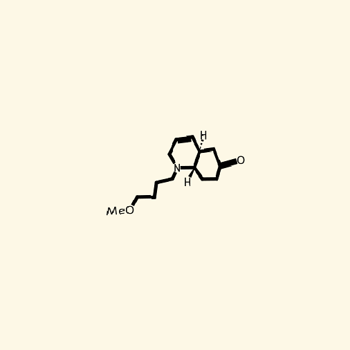 COCCCCN1CC=C[C@H]2CC(=O)CC[C@@H]21